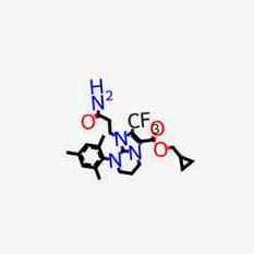 Cc1cc(C)c(N2CCCN3C(C(=O)OCC4CC4)=C(C(F)(F)F)N(CCC(N)=O)C32)c(C)c1